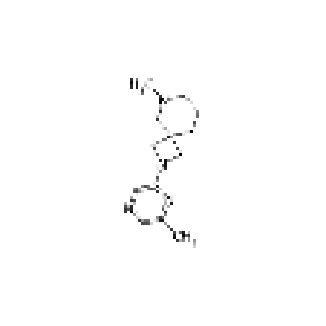 Cc1cncc(N2CC3(CCCN(C)C3)C2)n1